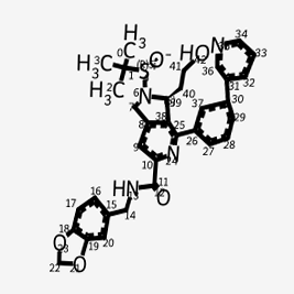 CC(C)(C)[S@+]([O-])N1Cc2cc(C(=O)NCc3ccc4c(c3)OCO4)nc(-c3cccc(-c4cccnc4)c3)c2[C@@H]1CCO